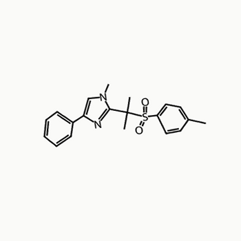 Cc1ccc(S(=O)(=O)C(C)(C)c2nc(-c3ccccc3)cn2C)cc1